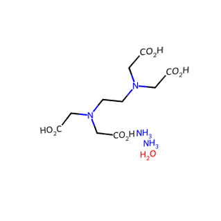 N.N.O.O=C(O)CN(CCN(CC(=O)O)CC(=O)O)CC(=O)O